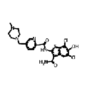 CN1CCN(Cc2ccc(C(=O)Nc3sc4c(Cl)c(O)c(Cl)cc4c3C(N)=O)nc2)CC1